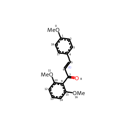 COc1ccc(/C=C/C(=O)c2c(OC)cccc2OC)cc1